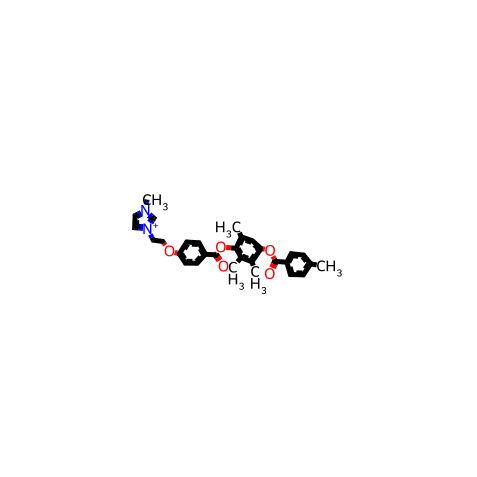 Cc1ccc(C(=O)Oc2cc(C)c(OC(=O)c3ccc(OCC[n+]4ccn(C)c4)cc3)c(C)c2C)cc1